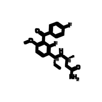 CC[C@@H](N[C@H](C)CC(N)=O)c1ccc(OC)c(C(=O)c2ccc(F)cc2)c1F